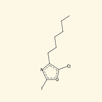 CCCCCCc1nc(I)oc1Cl